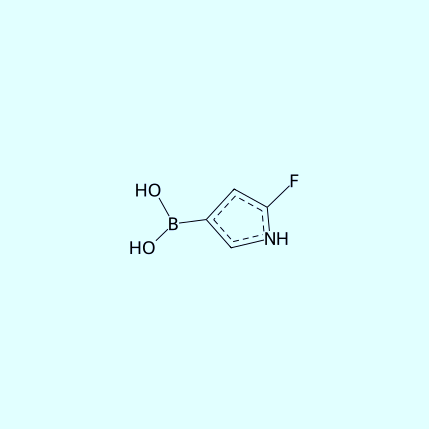 OB(O)c1c[nH]c(F)c1